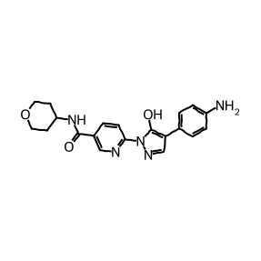 Nc1ccc(-c2cnn(-c3ccc(C(=O)NC4CCOCC4)cn3)c2O)cc1